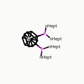 CCCCCCCP(CCCCCCC)[C]12[CH]3[CH]4[CH]5[C]1(P(CCCCCCC)CCCCCCC)[Ni]43521678[CH]2[CH]1[CH]6[CH]7[CH]28